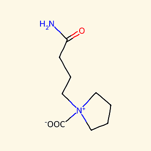 NC(=O)CCC[N+]1(C(=O)[O-])CCCC1